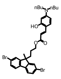 CCCCN(CCCC)c1ccc(/C=C/C(=O)OCCCC2(C)c3cc(Br)ccc3-c3ccc(Br)cc32)c(O)c1